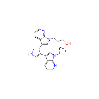 CCn1cc(-c2c[nH]cc2-c2cn(CCCO)c3ncccc23)c2cccnc21